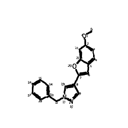 COc1ccc2[c]c(-c3cnn(Cc4ccccc4)c3)oc2c1